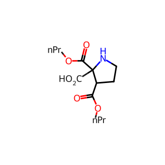 CCCOC(=O)C1CCNC1(C(=O)O)C(=O)OCCC